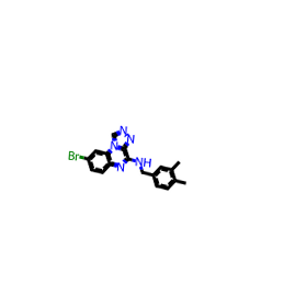 Cc1ccc(CNc2nc3ccc(Br)cc3n3cnnc23)cc1C